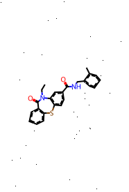 CCN1C(=O)c2ccccc2Sc2ccc(C(=O)NCc3ccccc3C)cc21